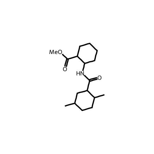 COC(=O)C1CCCCC1NC(=O)C1CC(C)CCC1C